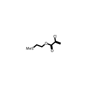 C=C(Cl)C(=O)OCCSC